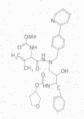 C=C(C)C(NC(=O)OC)C(=O)NN(Cc1ccc(-c2ccccn2)cc1)CC(O)C(Cc1ccccc1)NC(=O)OC1CCOC1